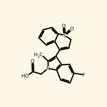 Cc1c(C2=CCS(=O)(=O)c3ccccc32)c2cc(F)ccc2n1CC(=O)O